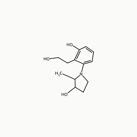 CC1C(O)CCN1c1cccc(O)c1CCO